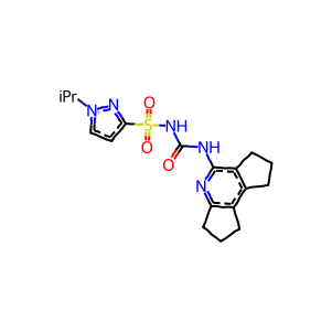 CC(C)n1ccc(S(=O)(=O)NC(=O)Nc2nc3c(c4c2CCC4)CCC3)n1